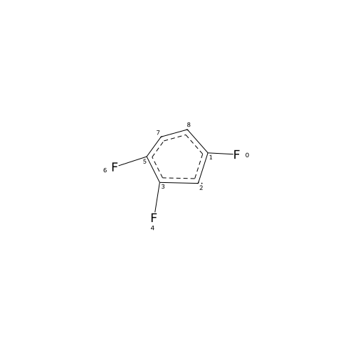 Fc1[c]c(F)c(F)cc1